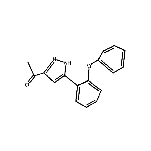 CC(=O)c1cc(-c2ccccc2Oc2ccccc2)[nH]n1